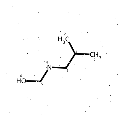 CC(C)C[N]CO